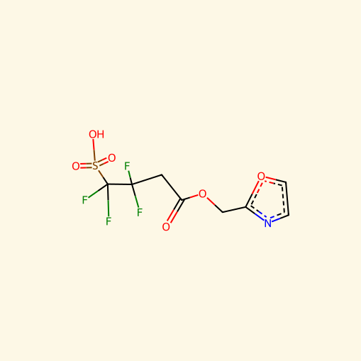 O=C(CC(F)(F)C(F)(F)S(=O)(=O)O)OCc1ncco1